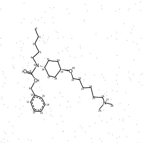 CCCCCN(C(=O)OCc1ccccc1)[C@H]1CC[C@H](OCCCCCCN(C)C)CC1